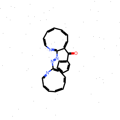 O=C(c1ccccc1)c1cccccccnc1N=Nc1ccccccccn1